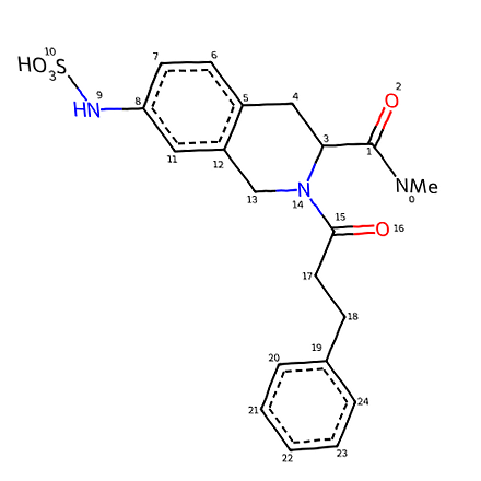 CNC(=O)C1Cc2ccc(NS(=O)(=O)O)cc2CN1C(=O)CCc1ccccc1